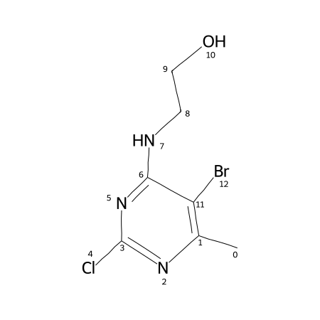 Cc1nc(Cl)nc(NCCO)c1Br